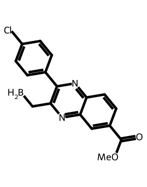 BCc1nc2cc(C(=O)OC)ccc2nc1-c1ccc(Cl)cc1